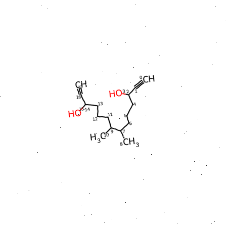 C#CC(O)CCCC(C)C(C)CCCC(O)C#C